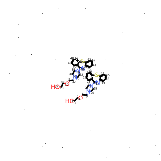 OCCOCCN1CCN(C2=Nc3ccccc3Sc3ccccc32)CC1.OCCOCCN1CCN(C2=Nc3ccccc3Sc3ccccc32)CC1